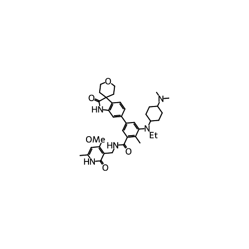 CCN(c1cc(-c2ccc3c(c2)NC(=O)C32CCOCC2)cc(C(=O)NCc2c(OC)cc(C)[nH]c2=O)c1C)C1CCC(N(C)C)CC1